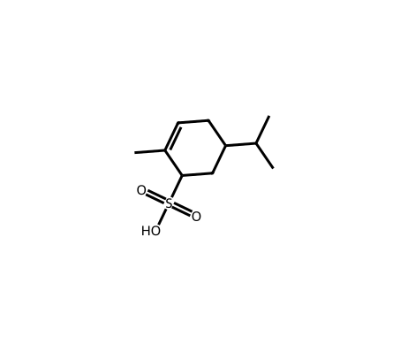 CC1=CCC(C(C)C)CC1S(=O)(=O)O